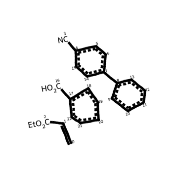 C=CC(=O)OCC.N#Cc1ccc(-c2ccccc2)cc1.O=C(O)c1ccccc1